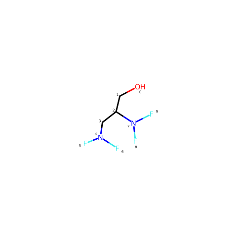 OCC(CN(F)F)N(F)F